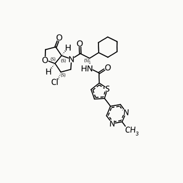 Cc1ncc(-c2ccc(C(=O)N[C@H](C(=O)N3C[C@H](Cl)[C@H]4OCC(=O)[C@H]43)C3CCCCC3)s2)cn1